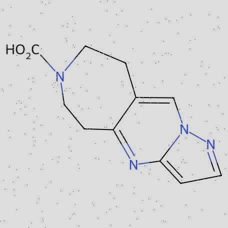 O=C(O)N1CCc2cn3nccc3nc2CC1